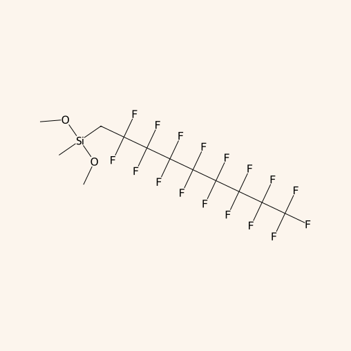 CO[Si](C)(CC(F)(F)C(F)(F)C(F)(F)C(F)(F)C(F)(F)C(F)(F)C(F)(F)C(F)(F)F)OC